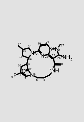 C=C1NCCCN2C=C(F)CC(C2=O)C2CC(C)CN2C2=NC3=C1C(N)N(C)N3C=C2